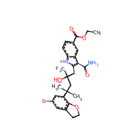 CC(C)(CC(O)(Cc1[nH]c2ccc(C(=O)OCC#N)cc2c1C(N)=O)C(F)(F)F)c1cc(Br)cc2c1OCC2